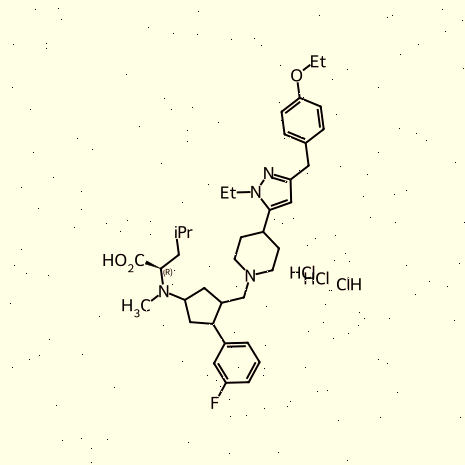 CCOc1ccc(Cc2cc(C3CCN(CC4CC(N(C)[C@H](CC(C)C)C(=O)O)CC4c4cccc(F)c4)CC3)n(CC)n2)cc1.Cl.Cl.Cl